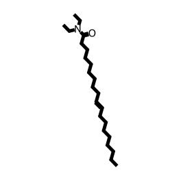 CCCCCCCCC=CCCCCCCCCC(=O)N(CC)CC